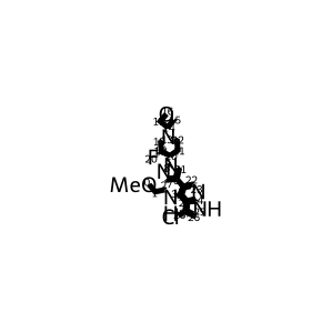 COCCNc1c(-c2cnn(C3CCN(C4COC4)C[C@@H]3F)c2)cnc2[nH]cc(Cl)c12